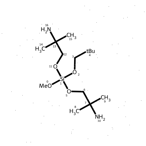 CO[Si](OCC(C)(C)C)(OCC(C)(C)N)OCC(C)(C)N